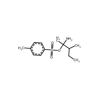 CCC(C)C(C)(N)OS(=O)(=O)c1ccc(C)cc1